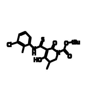 Cc1c(Cl)cccc1NC(=S)C1=C(O)C(C)CN(C(=O)OC(C)(C)C)C1=O